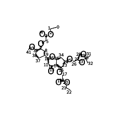 CCOC(=O)COc1cc(-c2cc(=O)c3c(OCC(=O)OCC)cc(OCC4=COC(C)(C)O4)cc3o2)ccc1OC